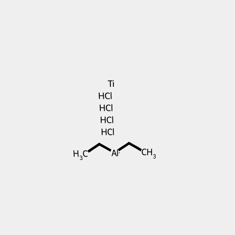 C[CH2][Al][CH2]C.Cl.Cl.Cl.Cl.[Ti]